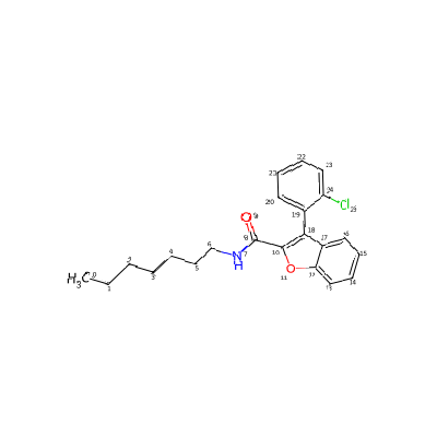 CCCCCCCNC(=O)c1oc2ccccc2c1-c1ccccc1Cl